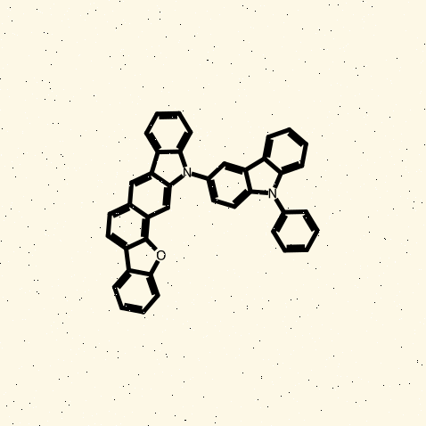 c1ccc(-n2c3ccccc3c3cc(-n4c5ccccc5c5cc6ccc7c8ccccc8oc7c6cc54)ccc32)cc1